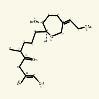 CC(=O)OCC=C1CC[C@@H](OC(C)=O)[C@](C)(CCCC(C)C(=O)CC(=CO)C(C)C)OC1